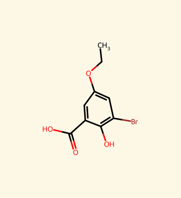 CCOc1cc(Br)c(O)c(C(=O)O)c1